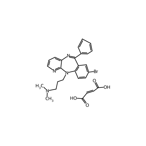 CN(C)CCCN1c2ccc(Br)cc2C(c2ccccc2)=Nc2cccnc21.O=C(O)/C=C/C(=O)O